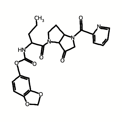 CCCC(NC(=O)Oc1ccc2c(c1)OCO2)C(=O)N1CCC2C1C(=O)CN2C(=O)c1ccccn1